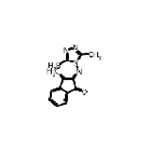 Bc1nnc(C)n1/N=C1\C(=C)c2ccccc2C1=O